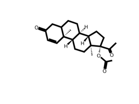 CC(=O)O[C@@]1(C(C)=O)CC[C@H]2[C@@H]3CCC4CC(=O)C=C[C@]4(C)[C@H]3CC[C@@]21C